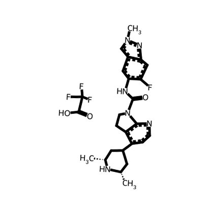 C[C@@H]1CC(c2ccnc3c2CCN3C(=O)Nc2cc3cn(C)nc3cc2F)C[C@H](C)N1.O=C(O)C(F)(F)F